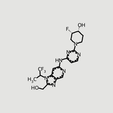 CC(n1c(CO)nc2cnc(Nc3ccnc(N4CC[C@@H](O)[C@@H](F)C4)n3)cc21)C(F)(F)F